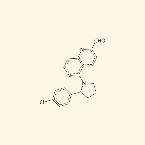 O=Cc1ccc2c(N3CCCC3c3ccc(Cl)cc3)nccc2n1